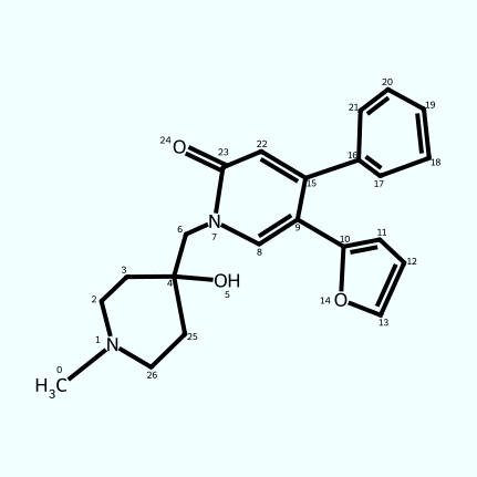 CN1CCC(O)(Cn2cc(-c3ccco3)c(-c3ccccc3)cc2=O)CC1